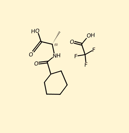 C[C@H](NC(=O)C1CCCCC1)C(=O)O.O=C(O)C(F)(F)F